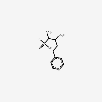 O=C(O)C(CCc1ccncc1)C(C(=O)O)P(=O)(O)O